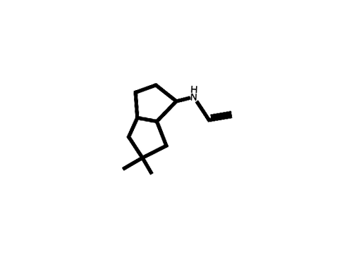 C=CNC1CCC2CC(C)(C)CC21